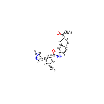 COC(=O)C1CCc2ccc(NC(=O)c3cc(-c4cnn(C)c4)cc(C(F)(F)F)c3)cc2C1